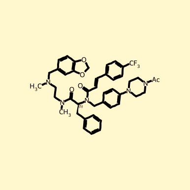 CC(=O)N1CCN(c2ccc(CN(C(=O)C=Cc3ccc(C(F)(F)F)cc3)[C@@H](Cc3ccccc3)C(=O)N(C)CCN(C)Cc3ccc4c(c3)OCO4)cc2)CC1